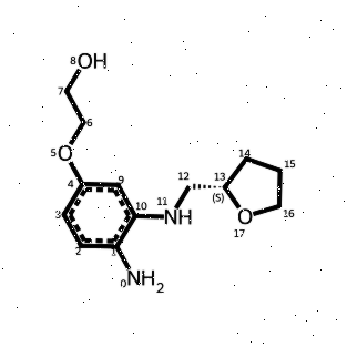 Nc1ccc(OCCO)cc1NC[C@@H]1CCCO1